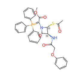 COC(=O)C(N1C(=O)[C@H](NC(=O)COc2ccccc2)[C@@H]1SC(C)=O)=P(c1ccccc1)(c1ccccc1)c1ccccc1